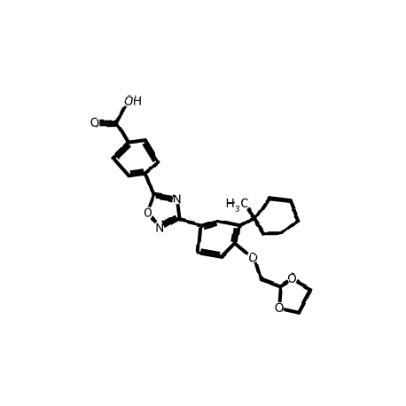 CC1(c2cc(-c3noc(-c4ccc(C(=O)O)cc4)n3)ccc2OCC2OCCO2)CCCCC1